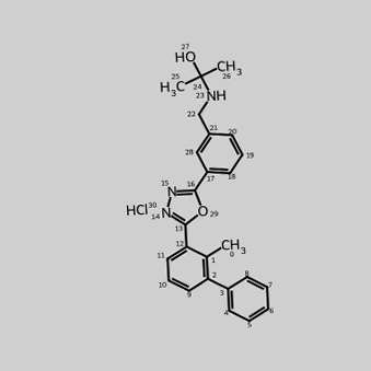 Cc1c(-c2ccccc2)cccc1-c1nnc(-c2cccc(CNC(C)(C)O)c2)o1.Cl